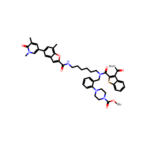 COC(=O)c1c(C(=O)N(CCCCCCNC(=O)c2cc3cc(-c4cc(C)c(=O)n(C)c4)cc(C)c3o2)Cc2ccccc2N2CCN(C(=O)OC(C)(C)C)CC2)sc2ccccc12